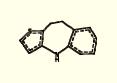 c1ccc2c(c1)CCc1sccc1N2